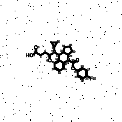 O=C(O)CCC(=O)N(C1CC1)C1c2ccccc2N(C(=O)Oc2ccc(F)cc2)C2CCCC21